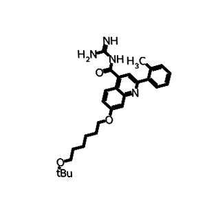 Cc1ccccc1-c1cc(C(=O)NC(=N)N)c2ccc(OCCCCCCOC(C)(C)C)cc2n1